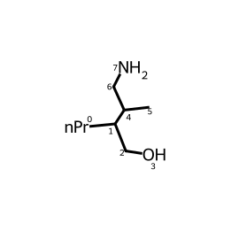 CCCC(CO)C(C)CN